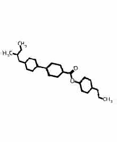 CCCC1CCC(OC(=O)C2CCC(C3CCC(CC(C)CC)CC3)CC2)CC1